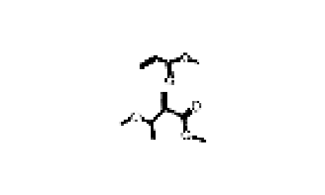 C=C(C(=O)OC)C(C)OC.C=CC(=O)OC